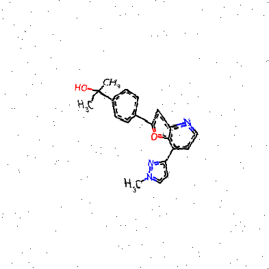 Cn1ccc(-c2ccnc3cc(-c4ccc(C(C)(C)O)cc4)oc23)n1